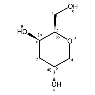 OC[C@H]1OC[C@H](O)C[C@H]1O